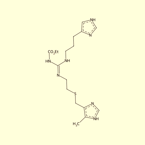 CCOC(=O)NC(=NCCSCc1nc[nH]c1C)NCCCc1c[nH]cn1